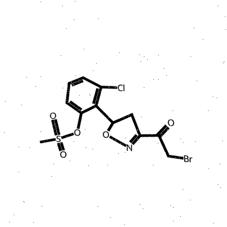 CS(=O)(=O)Oc1cccc(Cl)c1C1CC(C(=O)CBr)=NO1